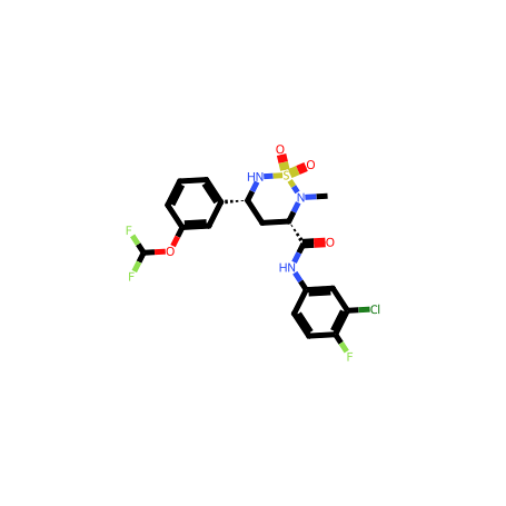 CN1[C@H](C(=O)Nc2ccc(F)c(Cl)c2)C[C@H](c2cccc(OC(F)F)c2)NS1(=O)=O